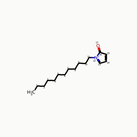 CCCCCCCCCCCC[N+]1=CC=CC1=O